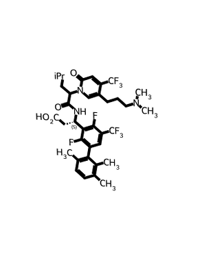 Cc1ccc(C)c(-c2cc(C(F)(F)F)c(F)c([C@H](CC(=O)O)NC(=O)C(CC(C)C)n3cc(CCCN(C)C)c(C(F)(F)F)cc3=O)c2F)c1C